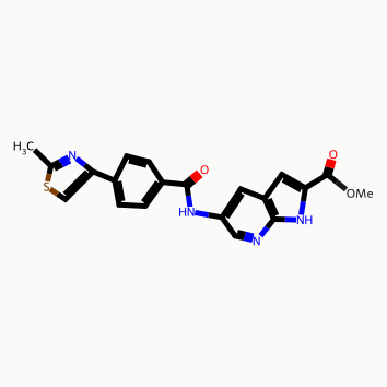 COC(=O)c1cc2cc(NC(=O)c3ccc(-c4csc(C)n4)cc3)cnc2[nH]1